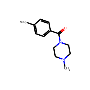 CSc1ccc(C(=O)N2CCN(C)CC2)cc1